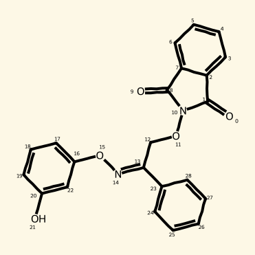 O=C1c2ccccc2C(=O)N1OC/C(=N\Oc1cccc(O)c1)c1ccccc1